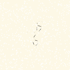 CCCCCC(C=Cc1ccc(C(=O)O)cc1)c1ccc2c(c1)C(C)(C)CCO2